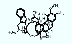 COc1c(C)cc2c(c1O)[C@H]1N[C@@H](C2)[C@H](O)N2[C@H]1[C@@H]1SC[C@]3(N[C@H](CO)Cc4c3oc3ccccc43)C(=O)OC[C@H]2c2c3c(c(C)c(OC(C)=O)c21)OCO3